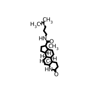 CN(C)CCCNC(=O)C1CC[C@H]2[C@@H]3CCC4NC(=O)CC[C@]4(C)[C@@H]3CC[C@]12C